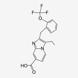 CCc1c(Cc2ccccc2OC(F)(F)F)nc2cc(C(=O)O)ccn12